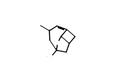 CC1C=C2CC3CC(N)(C1)CC23